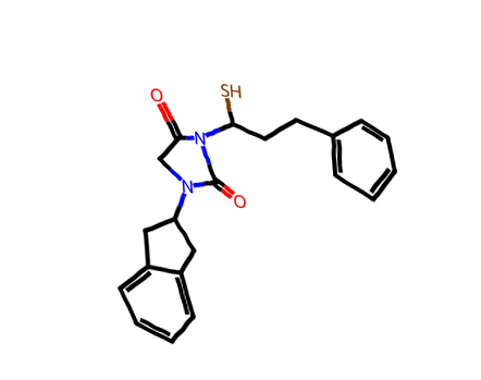 O=C1CN(C2Cc3ccccc3C2)C(=O)N1C(S)CCc1ccccc1